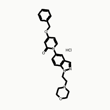 Cl.O=c1cc(OCc2ccccc2)ccn1-c1ccc2c(cnn2CCN2CCOCC2)c1